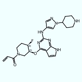 C=CC(=O)N1CC[C@@H](F)[C@@H](Oc2nc(Nc3cnn(C4CCNCC4)c3)nc3[nH]ccc23)C1